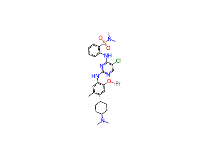 Cc1cc(Nc2ncc(Cl)c(Nc3ccccc3S(=O)(=O)N(C)C)n2)c(OC(C)C)cc1[C@H]1CC[C@H](N(C)C)CC1